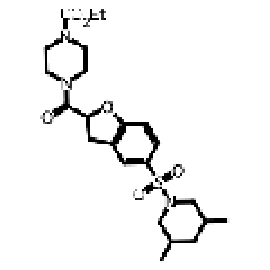 CCOC(=O)N1CCN(C(=O)C2Cc3cc(S(=O)(=O)N4CC(C)CC(C)C4)ccc3O2)CC1